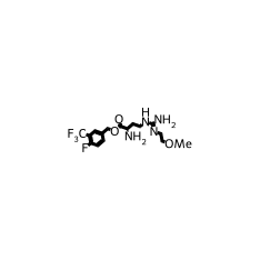 COCCN=C(N)NCC[C@H](N)C(=O)OCc1ccc(F)c(C(F)(F)F)c1